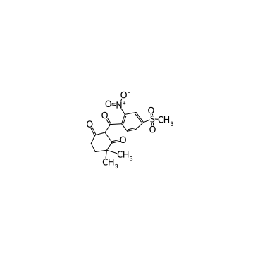 CC1(C)CCC(=O)C(C(=O)c2ccc(S(C)(=O)=O)cc2[N+](=O)[O-])C1=O